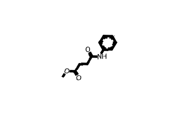 COC(=O)CCC(=O)Nc1cc[c]cc1